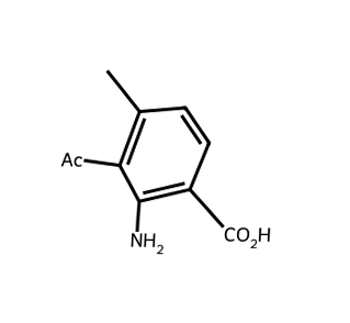 CC(=O)c1c(C)ccc(C(=O)O)c1N